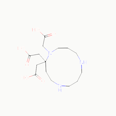 O=C(O)CN1CCCNCCCNCCC1(CC(=O)O)CC(=O)O